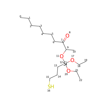 CCCCCCCC(=O)C(C)O[Si](CCCS)(OCC)OCC